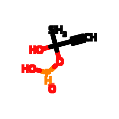 C#CC(O)([SiH3])O[PH](=O)O